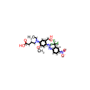 CCN(CCCC(=O)O)c1cc(CO)c(N=Nc2ccc([N+](=O)[O-])cc2C(F)(F)F)cc1OC